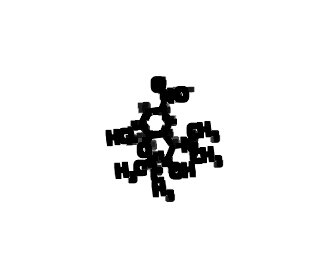 CN(C)C1c2cc([N+](=O)[O-])ccc2OC(C)(C)C1O.Cl